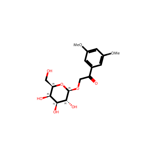 COc1cc(OC)cc(C(=O)CO[C@@H]2O[C@H](CO)[C@H](O)[C@H](O)[C@H]2O)c1